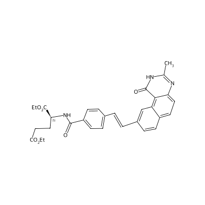 CCOC(=O)CC[C@H](NC(=O)c1ccc(C=Cc2ccc3ccc4nc(C)[nH]c(=O)c4c3c2)cc1)C(=O)OCC